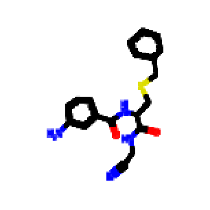 N#CCNC(=O)C(CSCc1ccccc1)NC(=O)c1cccc(N)c1